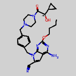 CCCCOc1nc(N)c2cc(C#N)n(Cc3ccc(CN4CCN(C(=O)[C@H](O)C5CC5)CC4)cc3)c2n1